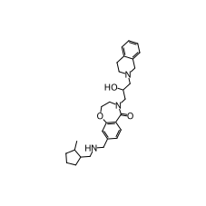 CC1CCCC1CNCc1ccc2c(c1)OCCN(CC(O)CN1CCc3ccccc3C1)C2=O